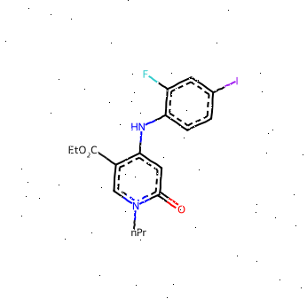 CCCn1cc(C(=O)OCC)c(Nc2ccc(I)cc2F)cc1=O